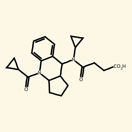 O=C(O)CCC(=O)N(C1CC1)C1c2ccccc2N(C(=O)C2CC2)C2CCCC21